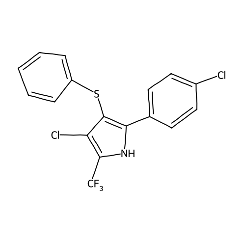 FC(F)(F)c1[nH]c(-c2ccc(Cl)cc2)c(Sc2ccccc2)c1Cl